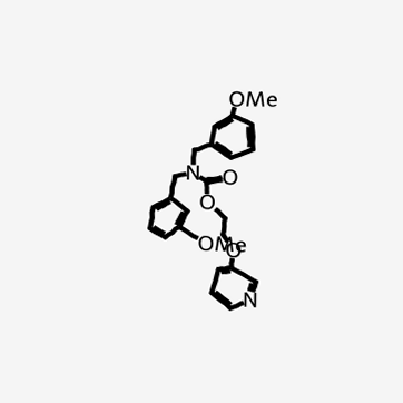 COc1cccc(CN(Cc2cccc(OC)c2)C(=O)OCCOc2cccnc2)c1